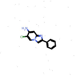 Nc1cc2nc(-c3ccccc3)cn2cc1Cl